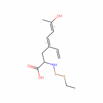 C=C/C(=C\C=C(/C)O)CC(NSSCC)C(=O)O